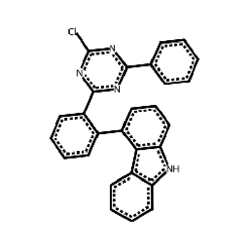 Clc1nc(-c2ccccc2)nc(-c2ccccc2-c2cccc3[nH]c4ccccc4c23)n1